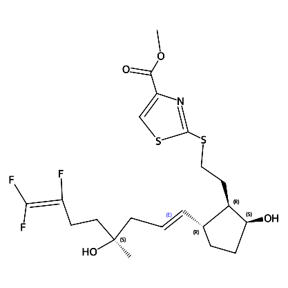 COC(=O)c1csc(SCC[C@H]2[C@@H](O)CC[C@@H]2/C=C/C[C@@](C)(O)CCC(F)=C(F)F)n1